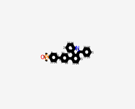 CP(C)(=O)c1ccc(-c2ccc(-c3cccc4c(-c5ccccc5)nc5ccccc5c34)cc2)cc1